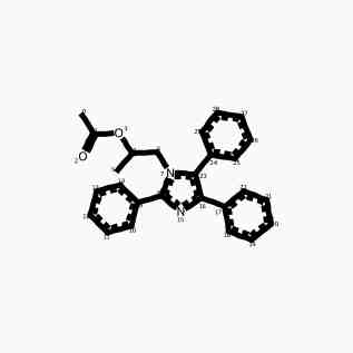 CC(=O)OC(C)Cn1c(-c2ccccc2)nc(-c2ccccc2)c1-c1ccccc1